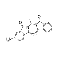 C[C](N1C(=O)c2ccccc2C1=O)N1C(=O)c2ccc(N)cc2C1=O